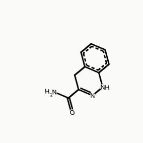 NC(=O)C1=NNc2ccccc2C1